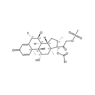 CCC(=O)O[C@@]1(C(=O)COS(C)(=O)=O)[C@@H](C)C[C@H]2[C@@H]3[C@H](Cl)[C@@H](F)C4=CC(=O)C=C[C@]4(C)[C@@]3(F)[C@@H](O)C[C@@]21C